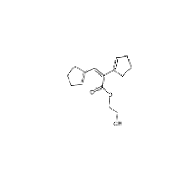 O=C(OCCO)C(=CC1=CCCC1)C1=CCCC1